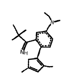 CC1=CC(C)=C(c2ccc(N(C)C)cc2C(=N)C(C)(C)C)C1